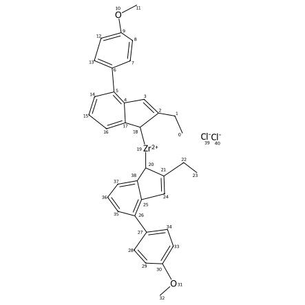 CCC1=Cc2c(-c3ccc(OC)cc3)cccc2[CH]1[Zr+2][CH]1C(CC)=Cc2c(-c3ccc(OC)cc3)cccc21.[Cl-].[Cl-]